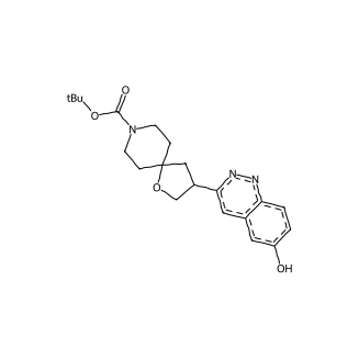 CC(C)(C)OC(=O)N1CCC2(CC1)CC(c1cc3cc(O)ccc3nn1)CO2